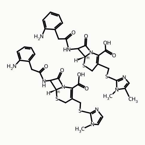 Cc1cnc(SCC2=C(C(=O)O)N3C(=O)C(NC(=O)Cc4ccccc4N)[C@H]3SC2)n1C.Cn1ccnc1SCC1=C(C(=O)O)N2C(=O)C(NC(=O)Cc3ccccc3N)[C@H]2SC1